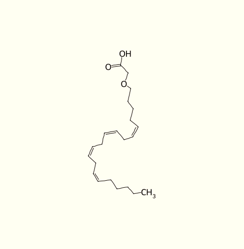 CCCCC/C=C\C/C=C\C/C=C\C/C=C\CCCCOCC(=O)O